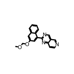 COCOc1cc(-c2ncc3cnccc3n2)c2ccccc2c1